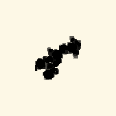 COc1cc(C2CCC(c3cc(OC)c(OC)c(OC)c3)O2)cc(CC#CN(O)C(=O)C2CCCCC2)c1OCCSc1ccc(F)cc1